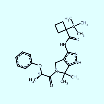 C[C@@H](Oc1ccccc1)C(=O)N1Cc2c(NC(=O)C3(S(C)(C)C)CCC3)n[nH]c2C1(C)C